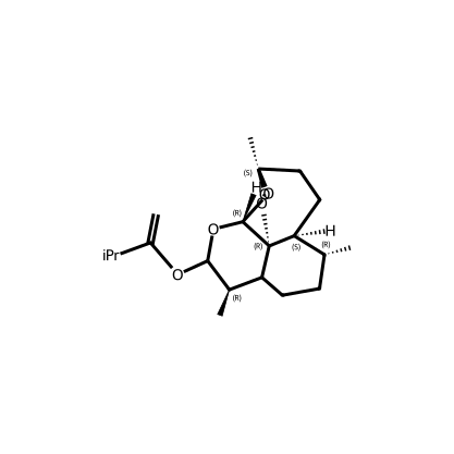 C=C(OC1O[C@@H]2O[C@]3(C)CC[C@H]4[C@H](C)CCC([C@H]1C)[C@@]24OO3)C(C)C